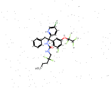 O=C(O)CCC(F)(F)CNC(=O)NC(Cc1ccccc1)(c1cc(F)cc(OC(F)(F)C(F)F)c1)c1ccc(Cl)cn1